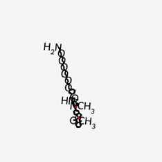 Cc1ccccc1C(=O)N1CCc2cc(-c3nc(NC(=O)Cc4cccc(OCCOCCOCCOCCOCCOCCN)c4)sc3C)ccc21